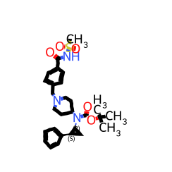 CC(C)(C)OC(=O)N(C1CCN(Cc2ccc(C(=O)NS(C)(=O)=O)cc2)CC1)[C@@H]1C[C@H]1c1ccccc1